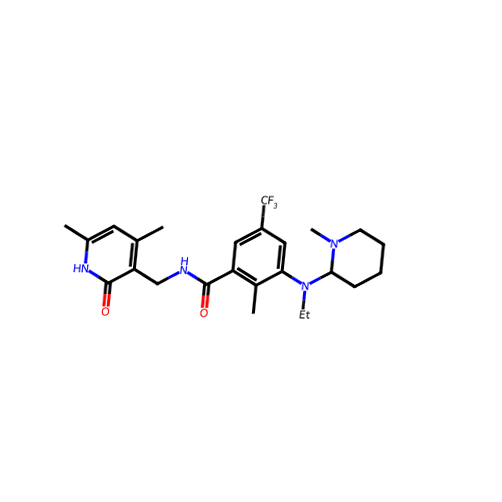 CCN(c1cc(C(F)(F)F)cc(C(=O)NCc2c(C)cc(C)[nH]c2=O)c1C)C1CCCCN1C